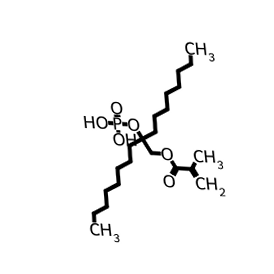 C=C(C)C(=O)OCC(CCCCCCCC)(CCCCCCCC)OP(=O)(O)O